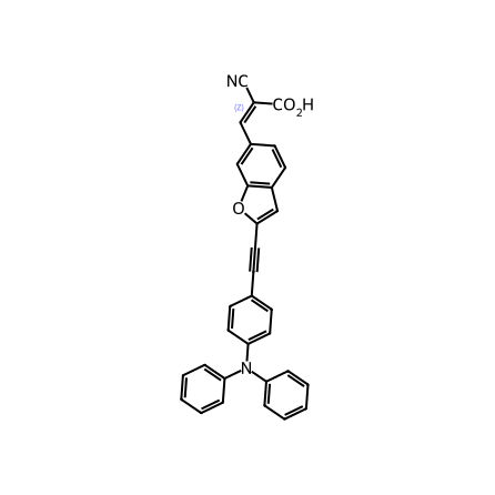 N#C/C(=C/c1ccc2cc(C#Cc3ccc(N(c4ccccc4)c4ccccc4)cc3)oc2c1)C(=O)O